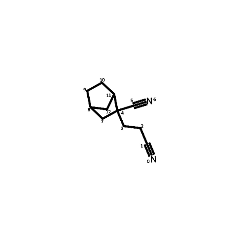 N#CCCC1(C#N)CC2CCC1C2